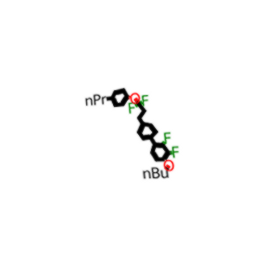 CCCCOc1ccc(-c2ccc(CCC(F)(F)Oc3ccc(CCC)cc3)cc2)c(F)c1F